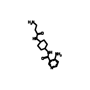 NCCC(=O)NC1CCC(NC(=O)c2cnccc2N)CC1